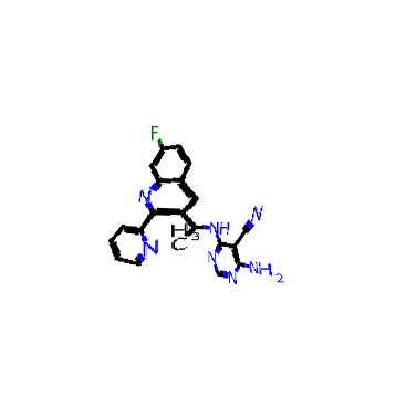 CC(Nc1ncnc(N)c1C#N)c1cc2ccc(F)cc2nc1-c1ccccn1